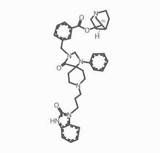 O=C(O[C@H]1CN2CCC1CC2)c1cccc(CN2CN(c3ccccc3)C3(CCN(CCCn4c(=O)[nH]c5ccccc54)CC3)C2=O)c1